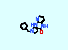 O=C1Nc2cccnc2NC12CCN(Cc1ccccc1)C2